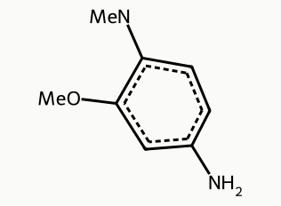 CNc1ccc(N)cc1OC